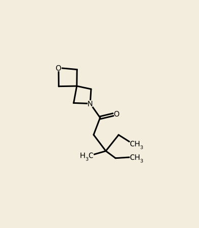 CCC(C)(CC)CC(=O)N1CC2(COC2)C1